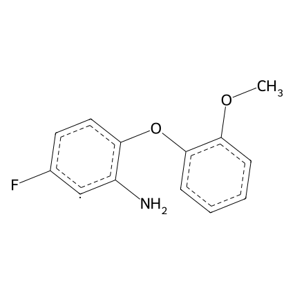 COc1ccccc1Oc1ccc(F)[c]c1N